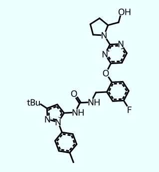 Cc1ccc(-n2nc(C(C)(C)C)cc2NC(=O)NCc2cc(F)ccc2Oc2ccnc(N3CCCC3CO)n2)cc1